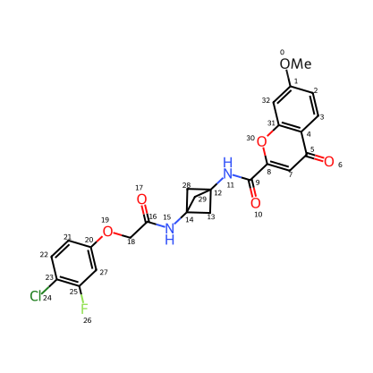 COc1ccc2c(=O)cc(C(=O)NC34CC(NC(=O)COc5ccc(Cl)c(F)c5)(C3)C4)oc2c1